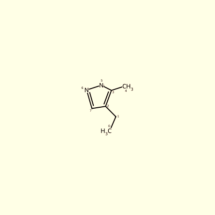 CCC1=C(C)[N]N=C1